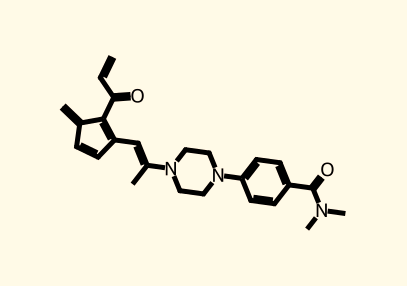 C=CC(=O)C1=C(/C=C(\C)N2CCN(c3ccc(C(=O)N(C)C)cc3)CC2)C=CC1=C